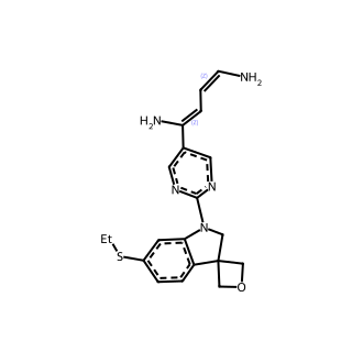 CCSc1ccc2c(c1)N(c1ncc(/C(N)=C/C=C\N)cn1)CC21COC1